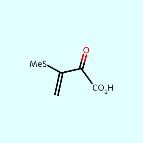 C=C(SC)C(=O)C(=O)O